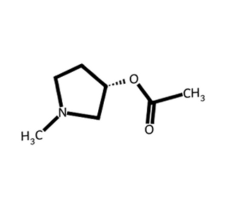 CC(=O)O[C@H]1CCN(C)C1